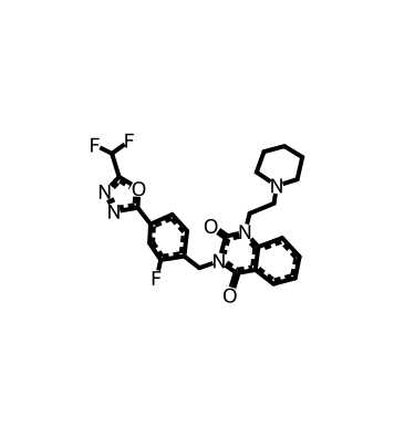 O=c1c2ccccc2n(CCN2CCCCC2)c(=O)n1Cc1ccc(-c2nnc(C(F)F)o2)cc1F